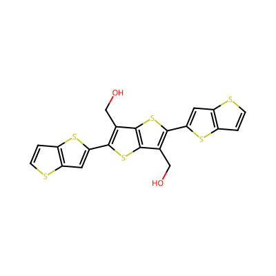 OCc1c(-c2cc3sccc3s2)sc2c(CO)c(-c3cc4sccc4s3)sc12